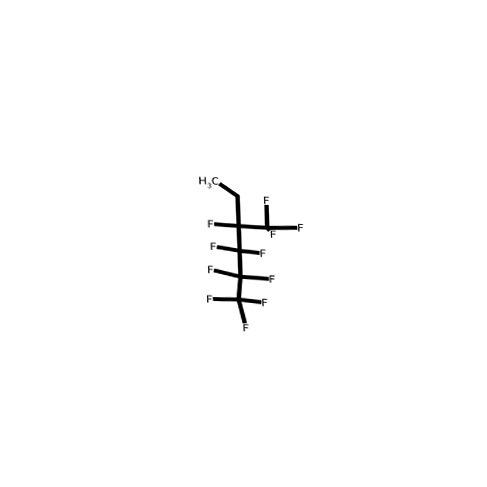 CCC(F)(C(F)(F)F)C(F)(F)C(F)(F)C(F)(F)F